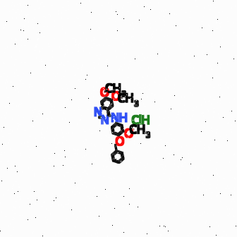 COc1cc2ncnc(Nc3ccc(OCc4ccccc4)c(OC)c3)c2cc1OC.Cl